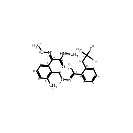 CNC(=O)/C(=N/OC)c1cccc(C)c1CO/N=C(\C)c1ccccc1CC(F)(F)F